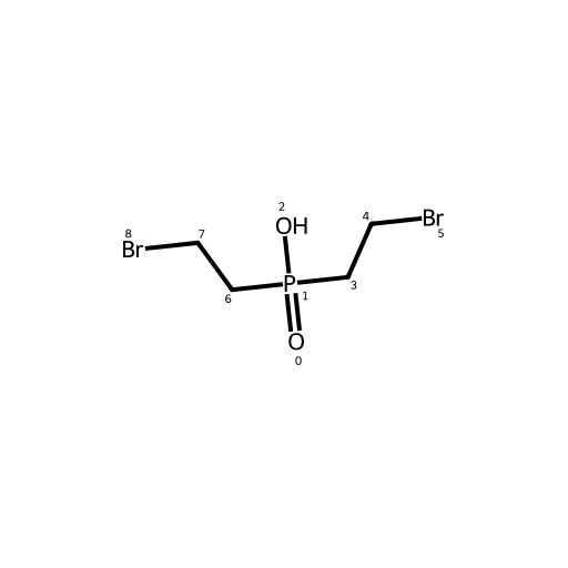 O=P(O)(CCBr)CCBr